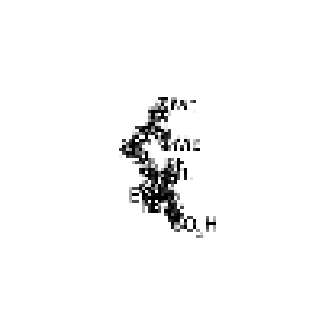 CCCCC(CC)CN1C(=O)C2=C(c3ccc(-c4ccc5c(c4)C4CCCC4N5c4ccc(C=C(c5ccc(OC)cc5)c5ccc(OC)cc5)cc4)s3)N(CC(CC)CCCC)C(=O)C2=C1c1ccc(-c2ccc(C(=O)O)cc2)s1